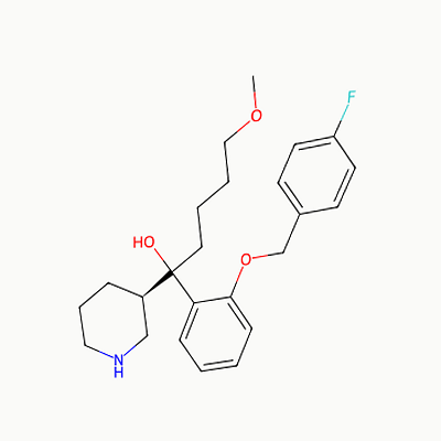 COCCCCC(O)(c1ccccc1OCc1ccc(F)cc1)[C@@H]1CCCNC1